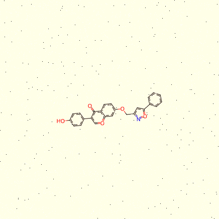 O=c1c(-c2ccc(O)cc2)coc2cc(OCc3cc(-c4ccccc4)on3)ccc12